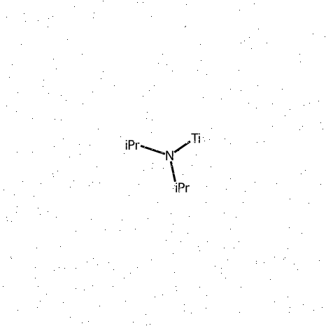 CC(C)[N]([Ti])C(C)C